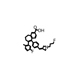 Cc1ccc(F)cc1C1=C(c2ccc(C=C3CN(CCCF)C3)cc2)c2ccc(C(=O)O)cc2CCC1